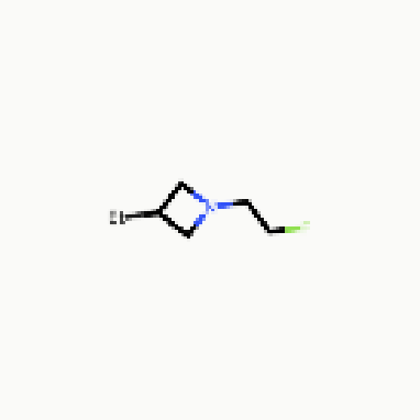 CCC1CN(CCF)C1